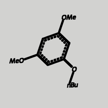 CCCCOc1cc(OC)cc(OC)c1